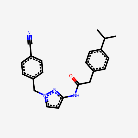 CC(C)c1ccc(CC(=O)Nc2ccn(Cc3ccc(C#N)cc3)n2)cc1